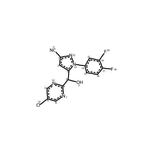 N#Cc1cc(C(O)c2ncc(Cl)cn2)n(-c2ccc(F)c(F)c2)n1